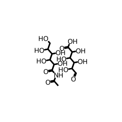 CC(=O)NC(=O)C(O)C(O)C(O)C(O)CO.O=CC(O)C(O)C(O)C(O)C(=O)O